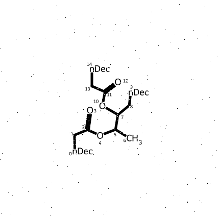 CCCCCCCCCCCC(=O)OC(C)C(CCCCCCCCCCC)OC(=O)CCCCCCCCCCC